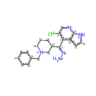 NN=C(c1c(Cl)cnc2[nH]ccc12)C1CCCN(Cc2ccccc2)C1